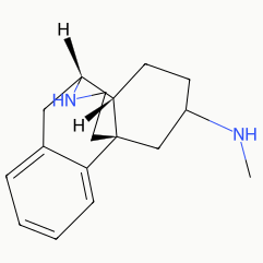 CNC1CC[C@H]2[C@H]3Cc4ccccc4[C@@]2(CCN3)C1